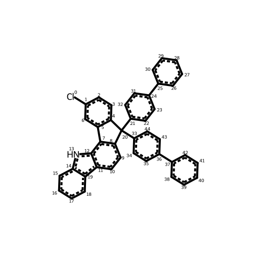 Clc1ccc2c(c1)-c1c(ccc3c1[nH]c1ccccc13)C2(c1ccc(-c2ccccc2)cc1)c1ccc(-c2ccccc2)cc1